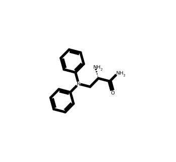 NC(=O)[C@@H](N)CN(c1ccccc1)c1ccccc1